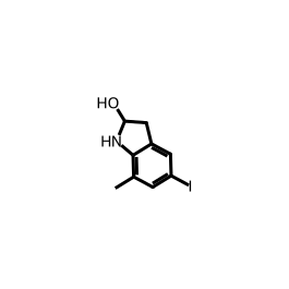 Cc1cc(I)cc2c1NC(O)C2